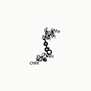 CC[C@H](NC(=O)OC)C(=O)N1CCC[C@H]1c1nc2c([nH]1)CCCc1cc(-c3ccc(-c4cnc([C@@H]5CC(F)(F)CN5C(=O)[C@@H](NC(=O)OC)C(C)C)[nH]4)cc3)ccc1-2